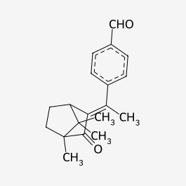 CC(=C1C(=O)C2(C)CCC1C2(C)C)c1ccc(C=O)cc1